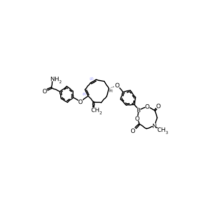 C=C1CC[C@@H](Oc2ccc(B3OC(=O)CN(C)CC(=O)O3)cc2)C/C=C\C=C/1Oc1ccc(C(N)=O)cc1